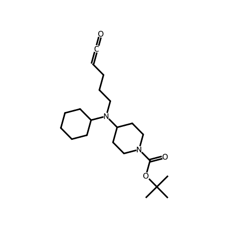 CC(C)(C)OC(=O)N1CCC(N(CCCC=C=O)C2CCCCC2)CC1